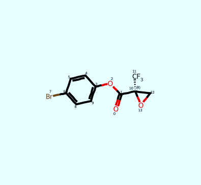 O=C(Oc1ccc(Br)cc1)[C@@]1(C(F)(F)F)CO1